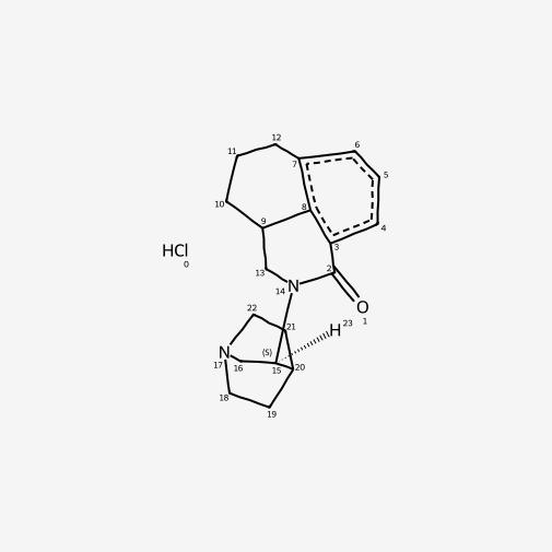 Cl.O=C1c2cccc3c2C(CCC3)CN1[C@@H]1CN2CCC1CC2